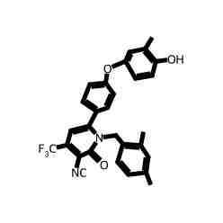 [C-]#[N+]c1c(C(F)(F)F)cc(-c2ccc(Oc3ccc(O)c(C)c3)cc2)n(Cc2ccc(C)cc2C)c1=O